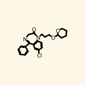 O=C1CN=C(c2ccccc2)c2cc(Cl)ccc2N1CCCOC1CCCCO1